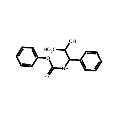 O=C(NC(c1ccccc1)C(O)C(=O)O)Oc1ccccc1